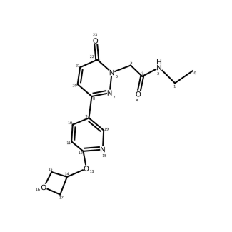 CCNC(=O)Cn1nc(-c2ccc(OC3COC3)nc2)ccc1=O